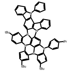 CC(C)c1ccc(N2c3ccc(C(C)(C)C)cc3B3c4cc(C(C)(C)C)ccc4N4c5ccc(C(C)(C)C)cc5B5c6c(cc2c3c64)-n2c3ccccc3c3c2c5cc2c4ccccc4n(-c4ccccc4)c23)cc1